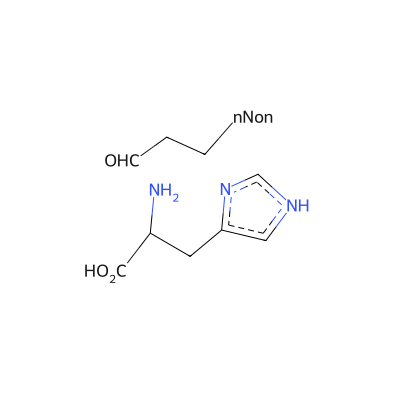 CCCCCCCCCCCC=O.NC(Cc1c[nH]cn1)C(=O)O